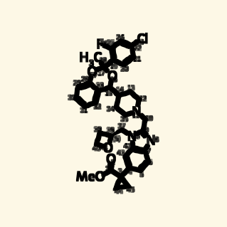 COC(=O)C1(c2ccc3nc(CN4CCC(C5OC(C)(c6ccc(Cl)cc6F)Oc6ccccc65)CC4)n(C[C@@H]4CCO4)c3c2)CC1